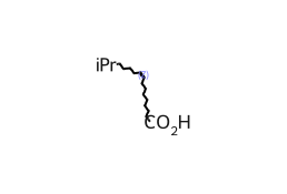 CC(C)CCCC/C=C\CCCCCCCC(=O)O